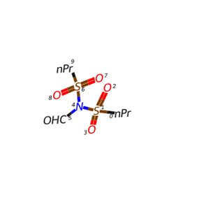 CCCS(=O)(=O)N(C=O)S(=O)(=O)CCC